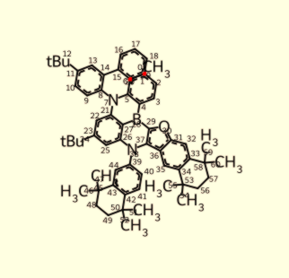 Cc1ccc2c(c1)N(c1ccc(C(C)(C)C)cc1-c1ccccc1)c1cc(C(C)(C)C)cc3c1B2c1oc2cc4c(cc2c1N3c1ccc2c(c1)C(C)(C)CCC2(C)C)C(C)(C)CCC4(C)C